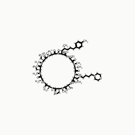 CC[C@@H]1NC(=O)[C@@H]2[C@@H]([C@H](C)CCCc3ccc(C)cc3)ON2C(=O)[C@H](C(C)C)N(C)C(=O)[C@H](CC(C)C)N(C)C(=O)[C@H](CC(C)C)N(C)C(=O)[C@@H](C)NC(=O)[C@H](C)NC(=O)[C@H](CC(C)C)N(C)C(=O)[C@H](C(C)C)NC(=O)[C@H]([C@@H](C)OCCCCN2CCOCC2)N(C)C(=O)[C@@H](C)N(C)C1=O